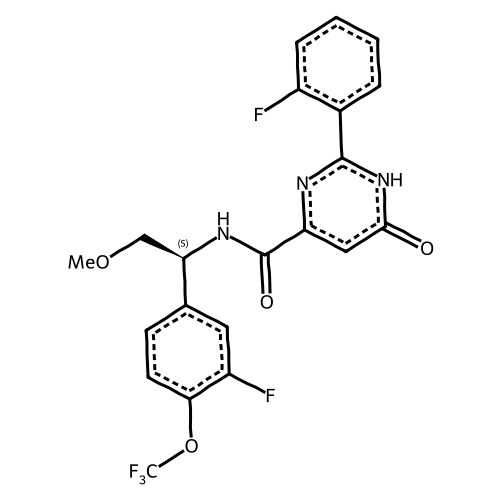 COC[C@@H](NC(=O)c1cc(=O)[nH]c(-c2ccccc2F)n1)c1ccc(OC(F)(F)F)c(F)c1